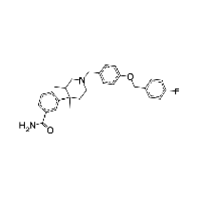 CC1CN(Cc2ccc(OCc3ccc(F)cc3)cc2)CCC1(C)c1cccc(C(N)=O)c1